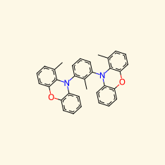 Cc1cccc2c1N(c1cccc(N3c4ccccc4Oc4cccc(C)c43)c1C)c1ccccc1O2